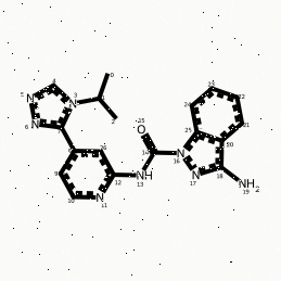 CC(C)n1cnnc1-c1ccnc(NC(=O)n2nc(N)c3ccccc32)c1